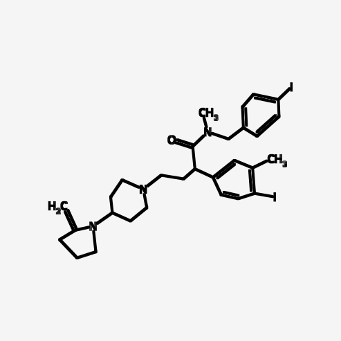 C=C1CCCN1C1CCN(CCC(C(=O)N(C)Cc2ccc(I)cc2)c2ccc(I)c(C)c2)CC1